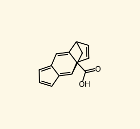 O=C(O)C12C=CC3CC1=C1C=CC=C1C=C32